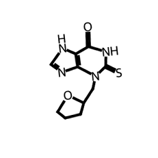 O=c1[nH]c(=S)n(CC2CCCO2)c2nc[nH]c12